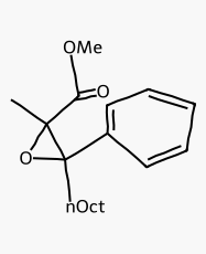 CCCCCCCCC1(c2ccccc2)OC1(C)C(=O)OC